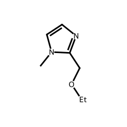 CCOCc1nccn1C